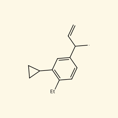 [CH2]C(C=C)c1ccc(CC)c(C2CC2)c1